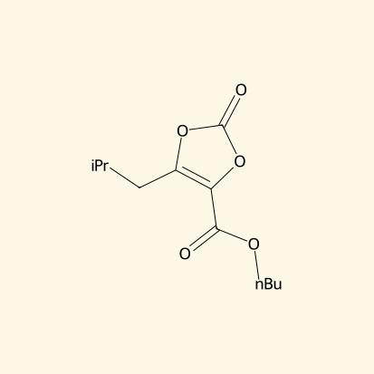 CCCCOC(=O)c1oc(=O)oc1CC(C)C